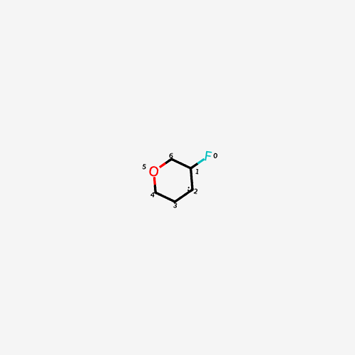 FC1[C]CCOC1